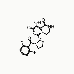 O=C1NCCn2c([C@@H]3CCCN3C(=O)c3c(F)cccc3F)nc(=O)c(O)c21